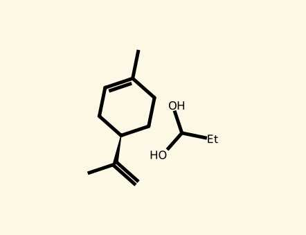 C=C(C)[C@H]1CC=C(C)CC1.CCC(O)O